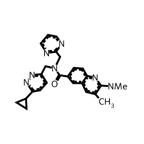 CNc1nc2ccc(C(=O)N(Cc3ccc(C4CC4)nn3)Cc3ncccn3)cc2cc1C